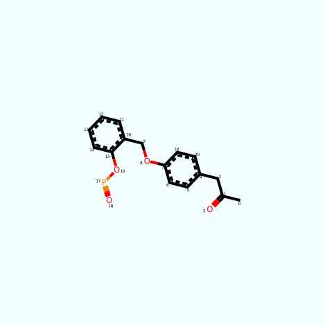 CC(=O)Cc1ccc(OCc2ccccc2OP=O)cc1